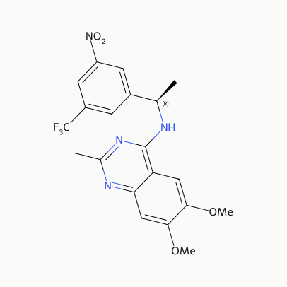 COc1cc2nc(C)nc(N[C@H](C)c3cc([N+](=O)[O-])cc(C(F)(F)F)c3)c2cc1OC